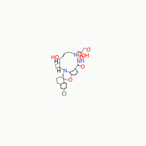 COC[C@H](O)CN1[C@@H](C)C/C=C/[C@H](O)[C@@H]2CC[C@H]2CN2C[C@@]3(CCCc4cc(Cl)ccc43)COc3ccc(cc32)C(=O)NS1(=O)=O